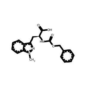 Cn1nc(C[C@H](NC(=O)OCc2ccccc2)C(=O)O)c2ccccc21